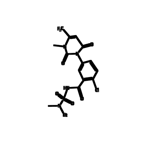 CCN(C)S(=O)(=O)NC(=O)c1cc(-n2c(=O)cc(C(F)(F)F)n(C)c2=O)ccc1Cl